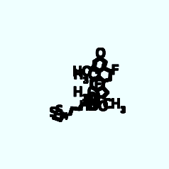 CC1CC2C3CC(F)C4=CC(=O)C=C(O)C4(C)C3(F)CCC2(C)C1(OC(=O)CCCC[C@@H]1CCSS1)C(=O)O